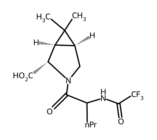 CCCC(NC(=O)C(F)(F)F)C(=O)N1C[C@H]2[C@@H]([C@H]1C(=O)O)C2(C)C